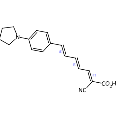 N#C\C(=C/C=C/C=C/c1ccc(N2CCCC2)cc1)C(=O)O